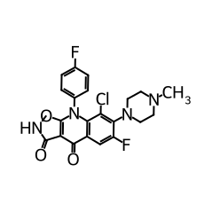 CN1CCN(c2c(F)cc3c(=O)c4c(=O)[nH]oc4n(-c4ccc(F)cc4)c3c2Cl)CC1